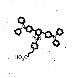 O=C(O)CCCc1ccc(-n2nc3c(-c4ccc(N(c5ccccc5)c5ccccc5)cc4)ccc(-c4ccc(N(c5ccccc5)c5ccccc5)cc4)c3n2)cc1